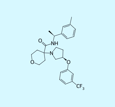 Cc1cccc([C@H](C)NC(=O)C2(N3CC[C@@H](Oc4cccc(C(F)(F)F)c4)C3)CCOCC2)c1